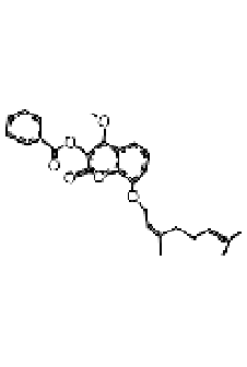 COc1c(OC(=O)c2ccccc2)c(=O)oc2c(OCC=C(C)CCC=C(C)C)cccc12